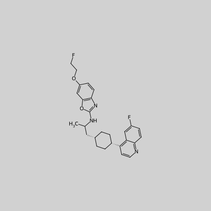 CC(C[C@H]1CC[C@@H](c2ccnc3ccc(F)cc32)CC1)Nc1nc2ccc(OCCF)cc2o1